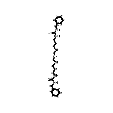 O=C(NCCCNCCCNCCCNC(=O)NCc1ccccc1)NCc1ccccc1